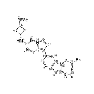 CN[C@H]1C[C@H](Nc2ncc3c(-c4ccc5nc(C)n(CC(F)F)c5n4)ccn3n2)C1